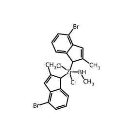 C[BH][Zr]([Cl])([Cl])([CH]1C(C)=Cc2c(Br)cccc21)[CH]1C(C)=Cc2c(Br)cccc21